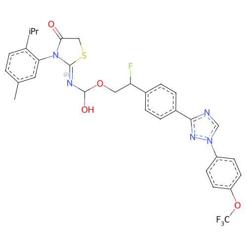 Cc1ccc(C(C)C)c(N2C(=O)CS/C2=N\C(O)OCC(F)c2ccc(-c3ncn(-c4ccc(OC(F)(F)F)cc4)n3)cc2)c1